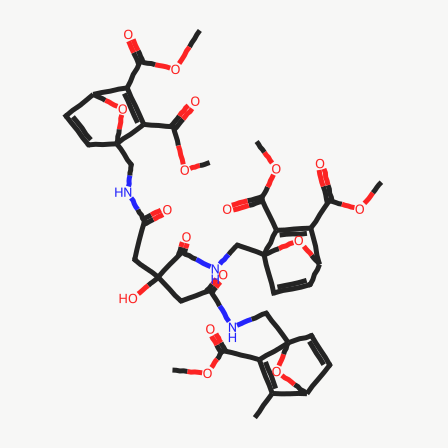 COC(=O)C1=C(C(=O)OC)C2(CNC(=O)CC(O)(CC(=O)NCC34C=CC(O3)C(C)=C4C(=O)OC)C(=O)NCC34C=CC(O3)C(C(=O)OC)=C4C(=O)OC)C=CC1O2